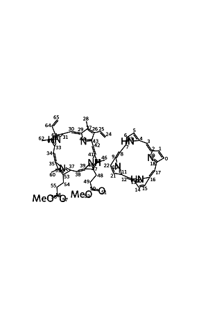 C1=Cc2cc3ccc(cc4nc(cc5ccc(cc1n2)[nH]5)C=C4)[nH]3.C=CC1=C(C)c2cc3[nH]c(cc4nc(cc5[nH]c(cc1n2)c(C)c5CCC(=O)OC)C(CCC(=O)OC)=C4C)c(C)c3C=C